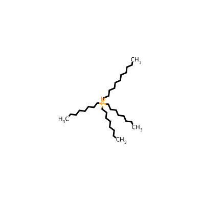 CCCCCCCCCCC[PH](CCCCCCCC)(CCCCCCCC)CCCCCCCC